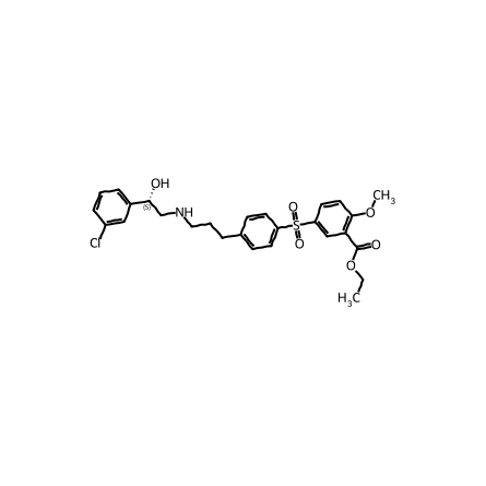 CCOC(=O)c1cc(S(=O)(=O)c2ccc(CCCNC[C@@H](O)c3cccc(Cl)c3)cc2)ccc1OC